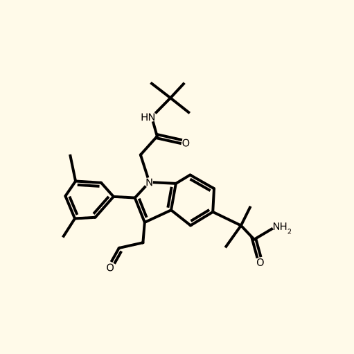 Cc1cc(C)cc(-c2c(CC=O)c3cc(C(C)(C)C(N)=O)ccc3n2CC(=O)NC(C)(C)C)c1